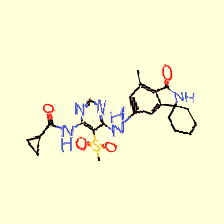 Cc1cc(Nc2ncnc(NC(=O)C3CC3)c2S(C)(=O)=O)cc2c1C(=O)NC21CCCCC1